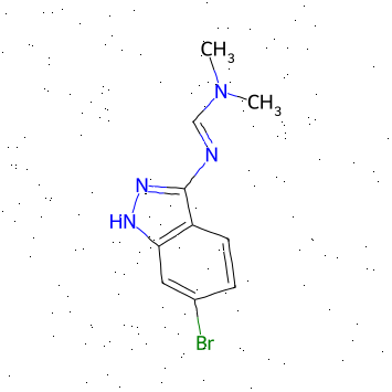 CN(C)C=Nc1n[nH]c2cc(Br)ccc12